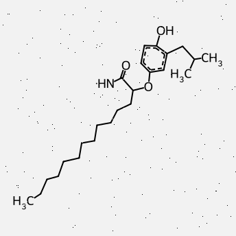 CCCCCCCCCCCCC(Oc1ccc(O)c(CC(C)C)c1)C([NH])=O